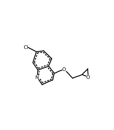 Clc1ccc2c(OCC3CO3)ccnc2c1